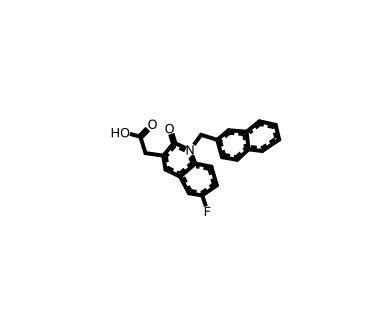 O=C(O)Cc1cc2cc(F)ccc2n(Cc2ccc3ccccc3c2)c1=O